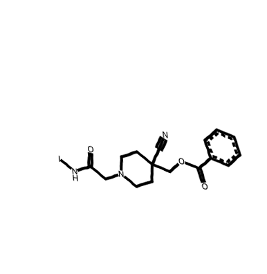 N#CC1(COC(=O)c2ccccc2)CCN(CC(=O)NI)CC1